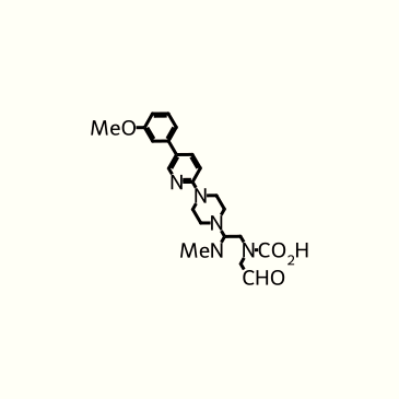 CNC(CN(CC=O)C(=O)O)N1CCN(c2ccc(-c3cccc(OC)c3)cn2)CC1